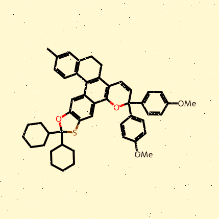 COc1ccc(C2(c3ccc(OC)cc3)C=Cc3c4c(c5cc6c(cc5c3O2)SC(C2CCCCC2)(C2CCCCC2)O6)-c2ccc(C)cc2CC4)cc1